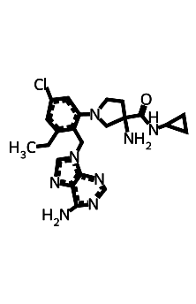 CCc1cc(Cl)cc(N2CCC(N)(C(=O)NC3CC3)C2)c1Cn1cnc2c(N)ncnc21